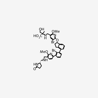 COc1nc(-c2cccc(-c3cccc4c3CC[C@@H]4Oc3nc(OC)c(CN[C@@](C)(CO)C(=O)O)cc3Br)c2Br)ccc1CNC[C@@H]1CCC(=O)N1